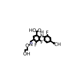 C#Cc1ccc(Nc2c(C(=O)O)cc(/C=N/OCCO)c(F)c2F)c(F)c1